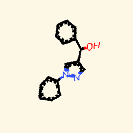 OC(c1ccccc1)c1cnn(-c2ccccc2)c1